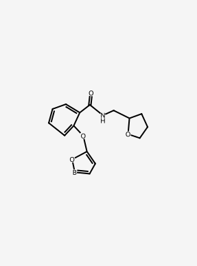 O=C(NCC1CCCO1)c1ccccc1Oc1ccbo1